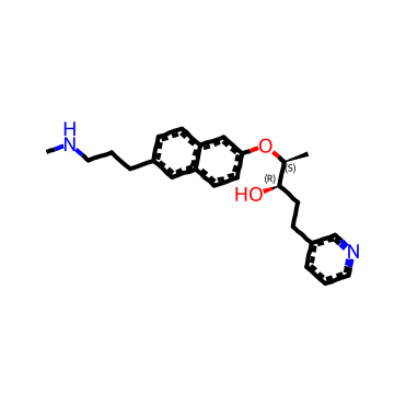 CNCCCc1ccc2cc(O[C@@H](C)[C@H](O)CCc3cccnc3)ccc2c1